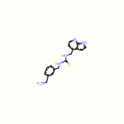 NCc1cccc(CNC(=S)NCc2ccnc3[nH]ccc23)c1